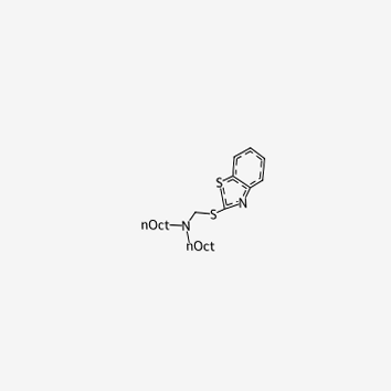 CCCCCCCCN(CCCCCCCC)CSc1nc2ccccc2s1